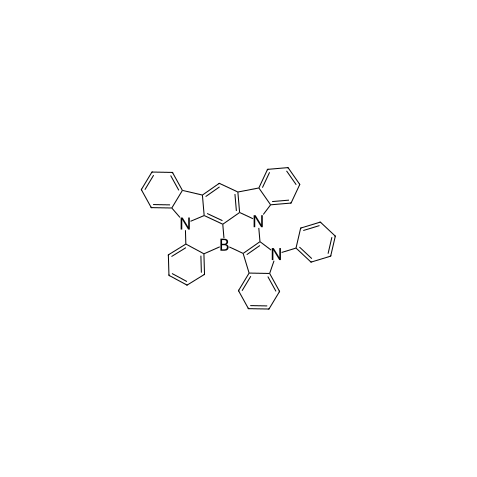 c1ccc(-n2c3c(c4ccccc42)B2c4ccccc4-n4c5ccccc5c5cc6c7ccccc7n-3c6c2c54)cc1